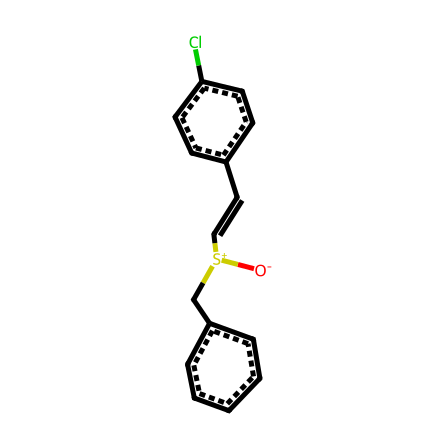 [O-][S+](C=Cc1ccc(Cl)cc1)Cc1ccccc1